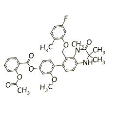 COc1cc(OC(=O)c2ccccc2OC(C)=O)ccc1-c1ccc2c(c1COc1cc(F)ccc1C)N(C)C(=O)C(C)(C)N2